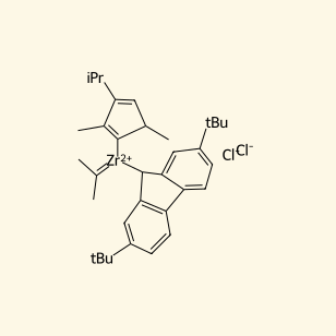 CC1=[C]([Zr+2](=[C](C)C)[CH]2c3cc(C(C)(C)C)ccc3-c3ccc(C(C)(C)C)cc32)C(C)C=C1C(C)C.[Cl-].[Cl-]